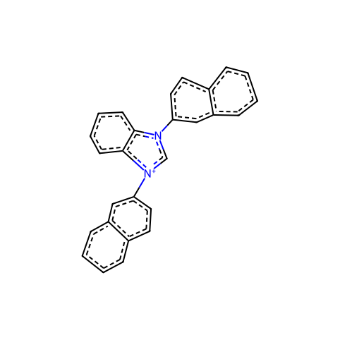 c1ccc2cc(-n3c[n+](-c4ccc5ccccc5c4)c4ccccc43)ccc2c1